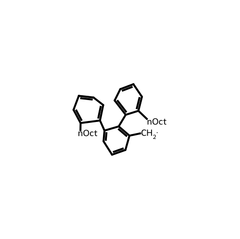 [CH2]c1cccc(-c2ccccc2CCCCCCCC)c1-c1ccccc1CCCCCCCC